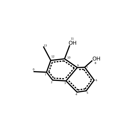 Cc1cc2cccc(O)c2c(O)c1C